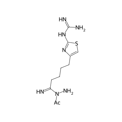 CC(=O)N(N)C(=N)CCCCc1csc(NC(=N)N)n1